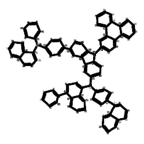 c1ccc(-c2ccc(N(c3ccc(-c4cccc5ccccc45)cc3)c3ccc4c(c3)c3cc(-c5ccc(N(c6ccccc6)c6cccc7ccccc67)cc5)ccc3n4-c3ccc4c5ccccc5c5ccccc5c4c3)c3ccccc23)cc1